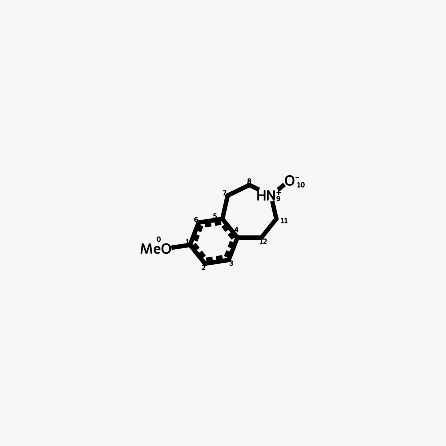 COc1ccc2c(c1)CC[NH+]([O-])CC2